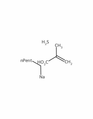 C=C(C)C(=O)O.CCCCC[CH2][Na].S